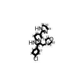 Clc1ccc(C2=C(CN3CCOCC3)N3C=C(C4=NC=CCN4)C=CC3N2)cc1